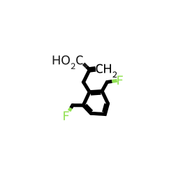 C=C(Cc1c(CF)cccc1CF)C(=O)O